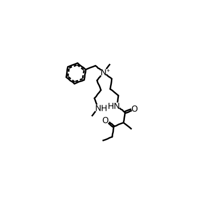 CCC(=O)C(C)C(=O)NCCC[N+](C)(CCCNC)Cc1ccccc1